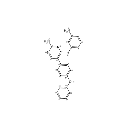 Nc1cccc(Oc2nc(N)ncc2-c2ccc(Oc3ccccc3)cc2)c1